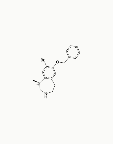 C[C@@H]1CNCCc2cc(OCc3ccccc3)c(Br)cc21